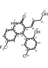 O=c1[nH]c2ccc(C(F)(F)F)cc2c(-c2cc(Cl)ccc2O)c1C=CCO